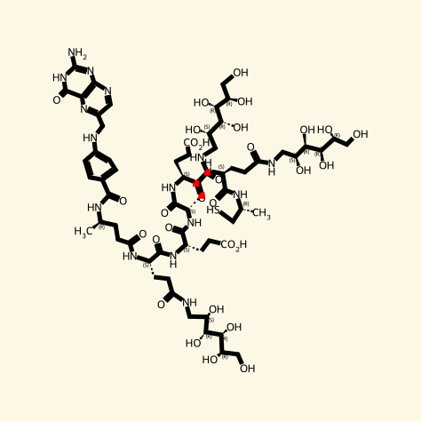 C[C@H](CCC(=O)N[C@@H](CCC(=O)NC[C@H](O)[C@@H](O)[C@H](O)[C@H](O)CO)C(=O)N[C@@H](CCC(=O)O)C(=O)N[C@@H](CCC(=O)NC[C@H](O)[C@@H](O)[C@H](O)[C@H](O)CO)C(=O)N[C@@H](CCC(=O)O)C(=O)N[C@@H](CCC(=O)NC[C@H](O)[C@@H](O)[C@H](O)[C@H](O)CO)C(=O)N[C@H](C)CS)NC(=O)c1ccc(NCc2cnc3nc(N)[nH]c(=O)c3n2)cc1